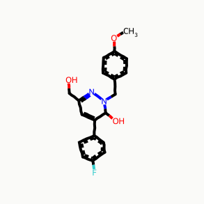 COc1ccc(CN2N=C(CO)C=C(c3ccc(F)cc3)C2O)cc1